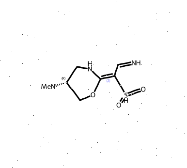 CN[C@@H]1CN/C(=C(\C=N)[SH](=O)=O)OC1